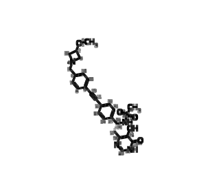 COC1CN(Cc2ccc(C#Cc3ccc([C@@H](Cc4nc[nH]c(=O)c4O)NS(C)(=O)=O)cc3)cc2)C1